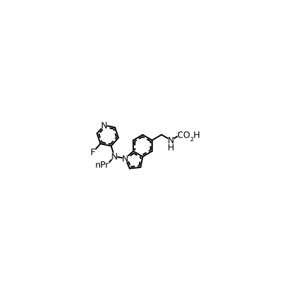 CCCN(c1ccncc1F)n1ccc2cc(CNC(=O)O)ccc21